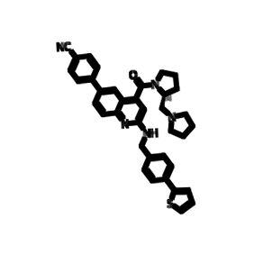 N#Cc1ccc(-c2ccc3nc(NCc4ccc(-c5cccs5)cc4)cc(C(=O)N4CCC[C@H]4CN4CCCC4)c3c2)cc1